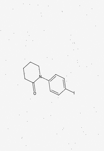 O=C1CCCCN1c1ccc(I)cc1